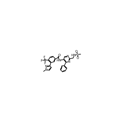 Cn1ccc(-c2cc(C(=O)Nc3cnc(CNS(C)(=O)=O)nc3-c3ccccc3)ccc2C(F)(F)F)n1